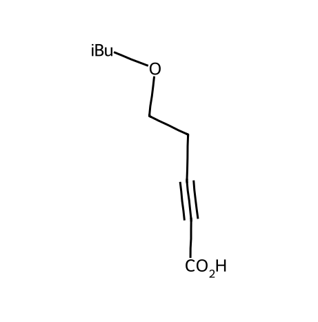 [CH2]CC(C)OCCC#CC(=O)O